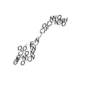 CCOc1cc([C@@H](CS(C)(=O)=O)N2C(=O)c3ccnc(N4CCN([C@@H]5CCN(CCc6ccc(Oc7cc8c(cc7F)c(N7CCC(=O)NC7=O)nn8C)cc6)CC5(F)F)CC4)c3C2=O)ccc1OC